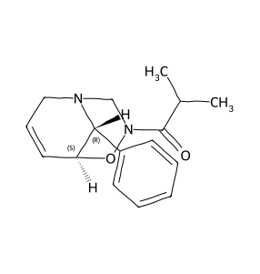 CC(C)C(=O)N1CN2CC=C[C@H](O1)[C@H]2c1ccccc1